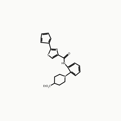 CCOC(=O)C1CCN(c2ccccc2NC(=O)c2csc(-c3ccccc3)n2)CC1